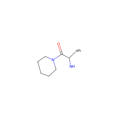 CCCC([NH])C(=O)N1CCCCC1